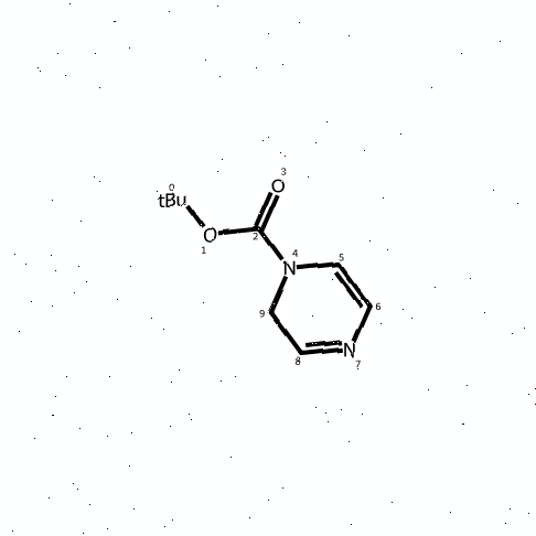 CC(C)(C)OC(=O)N1C=CN=CC1